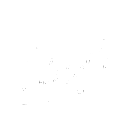 C[C@@H](Cc1ncc(F)cn1)S(=O)(=O)/N=C(\NNC(=O)c1ccco1)Nc1ccccc1F